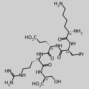 CC(C)C[C@H](NC(=O)[C@@H](N)CCCCN)C(=O)N[C@@H](CCC(=O)O)C(=O)N[C@@H](CCCNC(=N)N)C(=O)N[C@@H](CO)C(=O)O